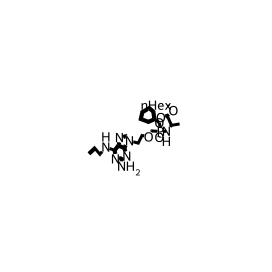 C=CCNc1nc(N)nc2c1ncn2CCOCP(=O)(NC(C)C(=O)OCCCCCC)Oc1ccccc1